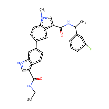 CC(NC(=O)c1cn(C)c2ccc(-c3ccc4c(C(=O)NCC(C)(C)C)c[nH]c4c3)cc12)c1cccc(F)c1